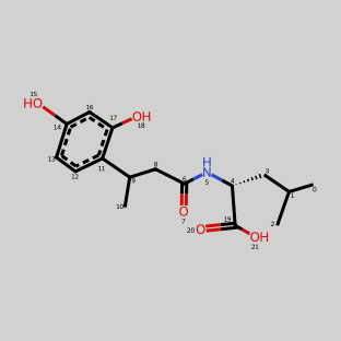 CC(C)C[C@@H](NC(=O)CC(C)c1ccc(O)cc1O)C(=O)O